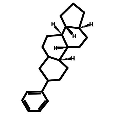 c1ccc(C2CC[C@H]3C(CC[C@H]4[C@@H]5CCC[C@H]5CC[C@@H]43)C2)cc1